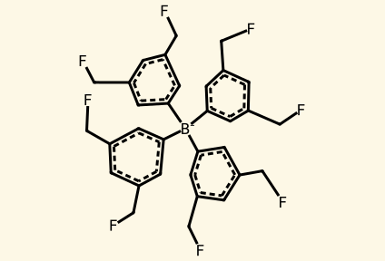 FCc1cc(CF)cc([B-](c2cc(CF)cc(CF)c2)(c2cc(CF)cc(CF)c2)c2cc(CF)cc(CF)c2)c1